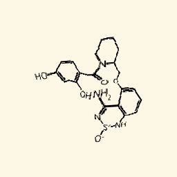 NC1=N[S+]([O-])Nc2cccc(OCC3CCCCN3C(=O)c3ccc(O)cc3O)c21